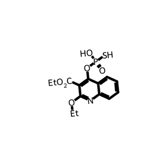 CCOC(=O)c1c(OCC)nc2ccccc2c1OP(=O)(O)S